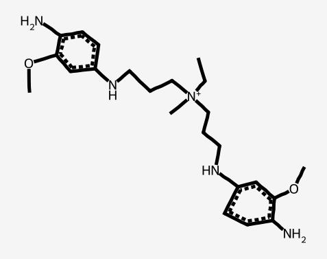 CC[N+](C)(CCCNc1ccc(N)c(OC)c1)CCCNc1ccc(N)c(OC)c1